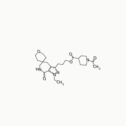 CCn1nc(CCCOC(=O)C2CCN(C(C)=O)CC2)c2c1C(=O)NCC1(CCOCC1)C2